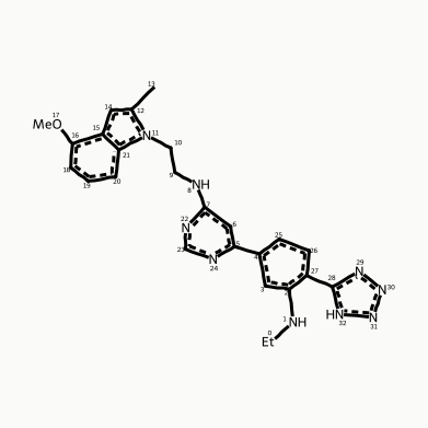 CCNc1cc(-c2cc(NCCn3c(C)cc4c(OC)cccc43)ncn2)ccc1-c1nnn[nH]1